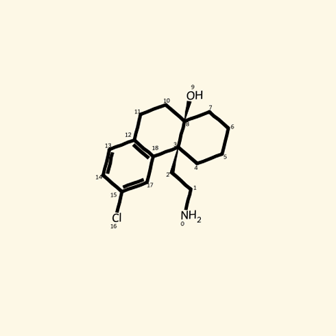 NCC[C@]12CCCC[C@@]1(O)CCc1ccc(Cl)cc12